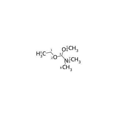 CCOC(OC)N(C)C